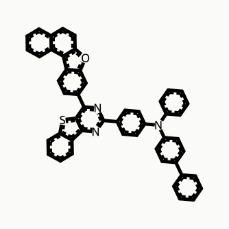 c1ccc(-c2ccc(N(c3ccccc3)c3ccc(-c4nc(-c5ccc6c(c5)oc5ccc7ccccc7c56)c5sc6ccccc6c5n4)cc3)cc2)cc1